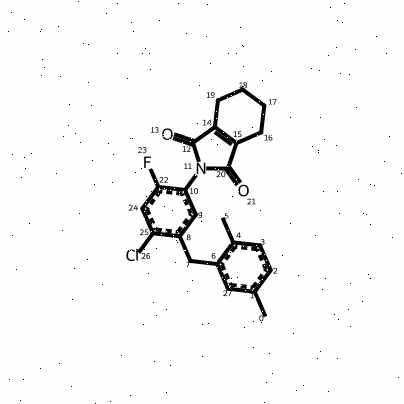 Cc1ccc(C)c(Cc2cc(N3C(=O)C4=C(CCCC4)C3=O)c(F)cc2Cl)c1